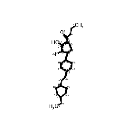 CCCC(=O)c1ccc(-c2ccc(CCC3CCC(CC)CC3)cc2)c(F)c1O